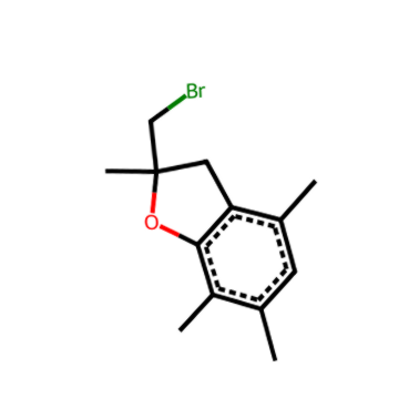 Cc1cc(C)c2c(c1C)OC(C)(CBr)C2